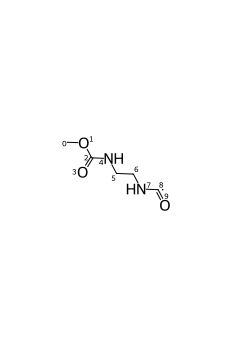 COC(=O)NCCN[C]=O